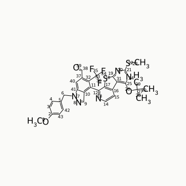 COc1ccc(Cn2ncc3c(-c4nccc5c4sc4nc(SC)nc(OC(C)(C)C)c45)c(C(F)(F)F)c(C=O)cc32)cc1